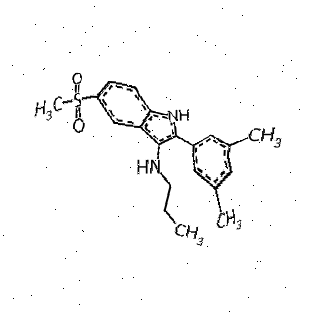 CCCNc1c(-c2cc(C)cc(C)c2)[nH]c2ccc(S(C)(=O)=O)cc12